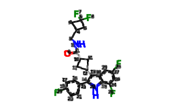 O=C(NCC1CC(F)(F)C1)[C@H]1C[C@@H](c2c(-c3ccc(F)cc3)[nH]c3c(F)cc(F)cc32)C1